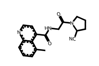 Cc1cccc2nccc(C(=O)NCC(=O)N3CCCC3C#N)c12